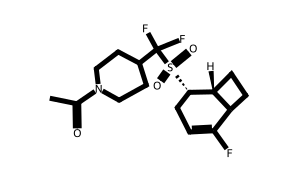 CC(=O)N1CCC(C(F)(F)S(=O)(=O)[C@H]2CC=C(F)C3CC[C@H]32)CC1